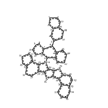 c1ccc2cc(-c3c4ccccc4c(-n4c5c6ccccc6ccc5c5sc6c(sc7ccc8ccccc8c76)c54)c4ccccc34)ccc2c1